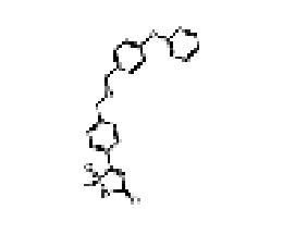 O=C1C=C(c2ccc(COCc3ccc(Oc4ccccc4)cc3)cc2)S(=O)(=O)N1